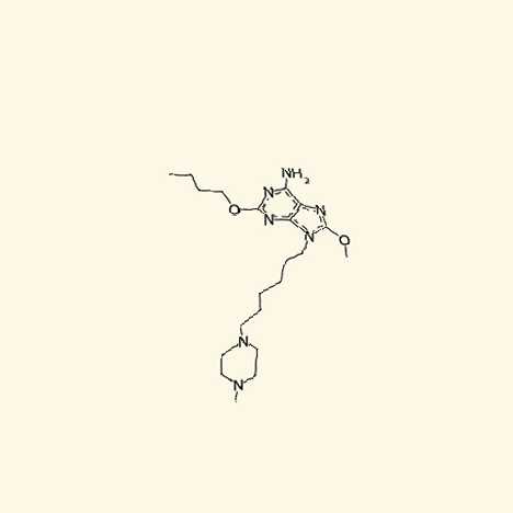 CCCCOc1nc(N)c2nc(OC)n(CCCCCCN3CCN(C)CC3)c2n1